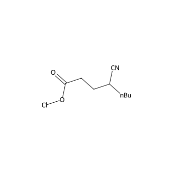 CCCCC(C#N)CCC(=O)OCl